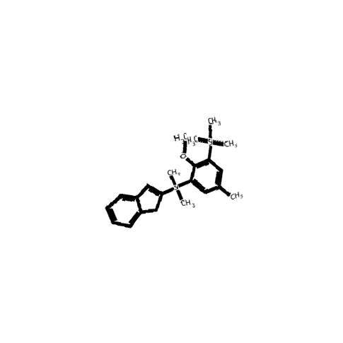 COc1c([Si](C)(C)C)cc(C)cc1[Si](C)(C)C1=Cc2ccccc2C1